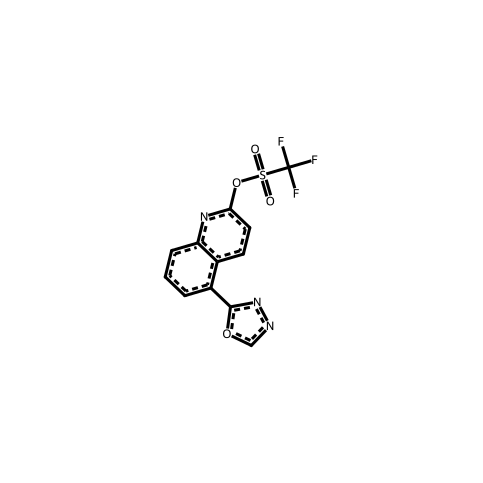 O=S(=O)(Oc1ccc2c(-c3nnco3)cccc2n1)C(F)(F)F